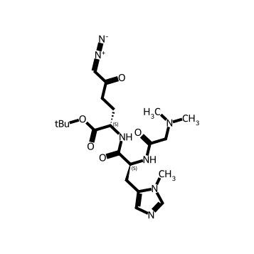 CN(C)CC(=O)N[C@@H](Cc1cncn1C)C(=O)N[C@@H](CCC(=O)C=[N+]=[N-])C(=O)OC(C)(C)C